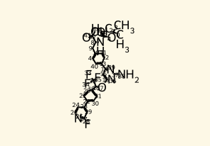 CC(C)(C)OC(=O)NC(Cc1ccc(-c2cc(O[C@@H](c3ccc(-c4ccnc(F)c4)cc3)C(F)(F)F)nc(N)n2)cc1)C(=O)O